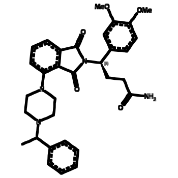 COc1ccc([C@@H](CCC(N)=O)N2C(=O)c3cccc(N4CCN(C(C)c5ccccc5)CC4)c3C2=O)cc1OC